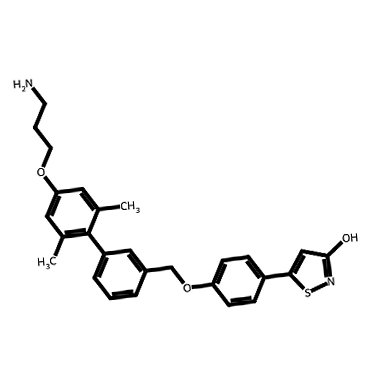 Cc1cc(OCCCN)cc(C)c1-c1cccc(COc2ccc(-c3cc(O)ns3)cc2)c1